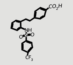 O=C(O)c1ccc(CCc2ccccc2NS(=O)(=O)c2ccc(C(F)(F)F)cc2)cc1